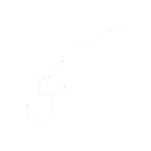 CCCCCCCCCCCCSSc1nc2ccccc2[nH]1